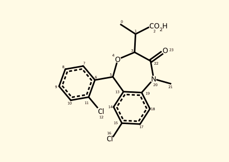 CC(C(=O)O)C1OC(c2ccccc2Cl)c2cc(Cl)ccc2N(C)C1=O